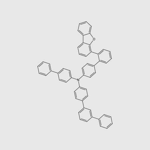 c1ccc(-c2ccc(N(c3ccc(-c4cccc(-c5ccccc5)c4)cc3)c3ccc(-c4ccccc4-c4cccc5c4oc4ccccc45)cc3)cc2)cc1